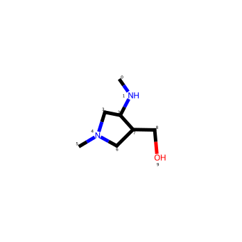 CNC1CN(C)CC1CO